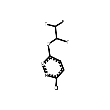 FC(F)C(F)Oc1ccc(Cl)nn1